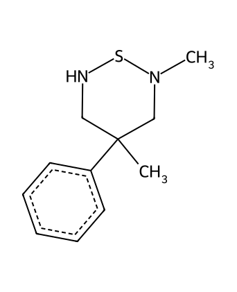 CN1CC(C)(c2ccccc2)CNS1